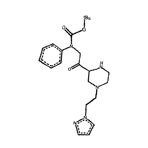 CC(C)(C)OC(=O)N(CC(=O)C1CN(CCn2cccn2)CCN1)c1ccccc1